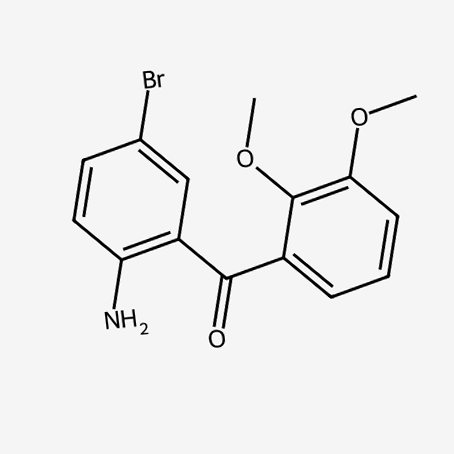 COc1cccc(C(=O)c2cc(Br)ccc2N)c1OC